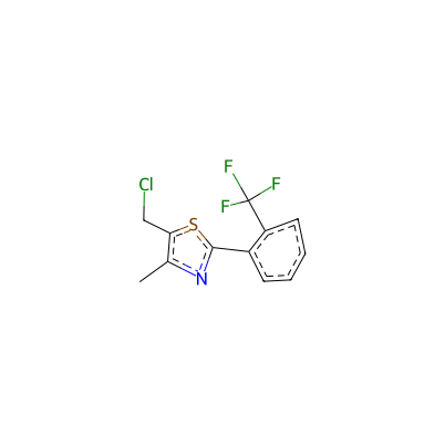 Cc1nc(-c2ccccc2C(F)(F)F)sc1CCl